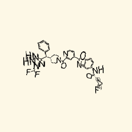 O=C(Nc1ccc2oc(-c3ccnc(C(=O)N4CCC(C(C5=NN(C(F)F)NN5)c5ccccc5)CC4)c3)nc2c1)[C@@H]1C[C@@H]1F